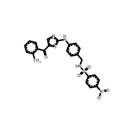 Cc1ccccc1C(=O)c1cnc(Nc2ccc(CNS(=O)(=O)c3ccc([N+](=O)[O-])cc3)cc2)s1